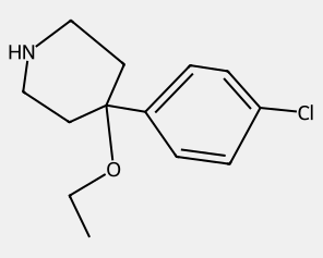 CCOC1(c2ccc(Cl)cc2)CCNCC1